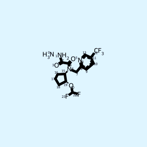 N.NC(=O)C(=O)N(Cc1ccc(C(F)(F)F)cn1)[C@@H]1CCC[C@H]1OC(F)F